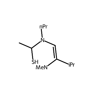 CCCN(/C=C(\NC)C(C)C)C(C)S